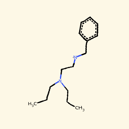 CCCN(CCC)CC[N]Cc1ccccc1